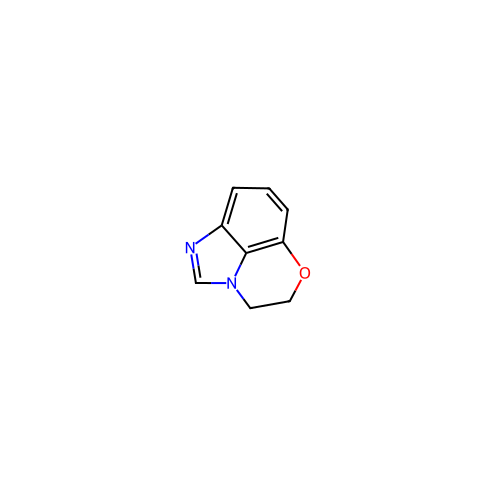 c1cc2c3c(c1)ncn3CCO2